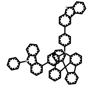 c1ccc(-n2c3ccccc3c3c(-c4ccc(N(c5ccc(-c6ccc7sc8ccccc8c7c6)cc5)c5cccc6c5C5(c7ccccc7-c7ccccc75)c5ccccc5-6)cc4)cccc32)cc1